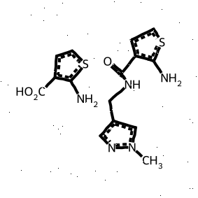 Cn1cc(CNC(=O)c2ccsc2N)cn1.Nc1sccc1C(=O)O